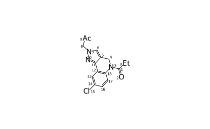 CCC(=O)N1Cc2cn(CC(C)=O)nc2-c2cc(Cl)ccc21